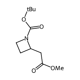 COC(=O)CC1CCN1C(=O)OC(C)(C)C